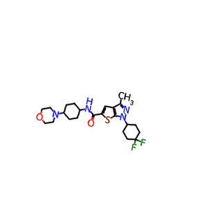 Cc1nn(C2CCC(F)(F)CC2)c2sc(C(=O)NC3CCC(N4CCOCC4)CC3)cc12